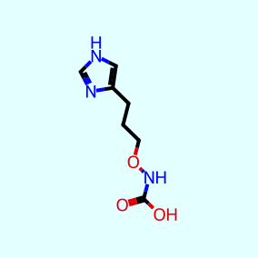 O=C(O)NOCCCc1c[nH]cn1